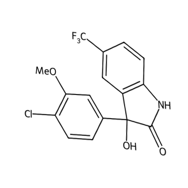 COc1cc(C2(O)C(=O)Nc3ccc(C(F)(F)F)cc32)ccc1Cl